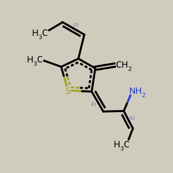 C=c1c(/C=C\C)c(C)s/c1=C/C(N)=C\C